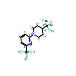 FC(F)(F)c1cccc(N2CCC(C(F)(F)F)CC2)n1